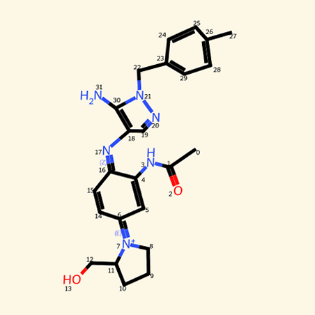 CC(=O)NC1=CC(=[N+]2\CCCC2CO)/C=CC/1=N/c1cnn(Cc2ccc(C)cc2)c1N